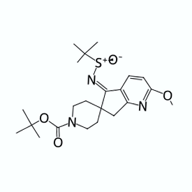 COc1ccc2c(n1)CC1(CCN(C(=O)OC(C)(C)C)CC1)/C2=N/[S@+]([O-])C(C)(C)C